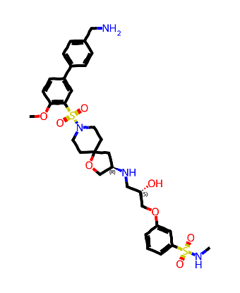 CNS(=O)(=O)c1cccc(OC[C@@H](O)CN[C@H]2COC3(CCN(S(=O)(=O)c4cc(-c5ccc(CN)cc5)ccc4OC)CC3)C2)c1